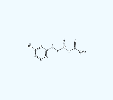 COC(=O)CC(=O)CSc1cccc(O)c1